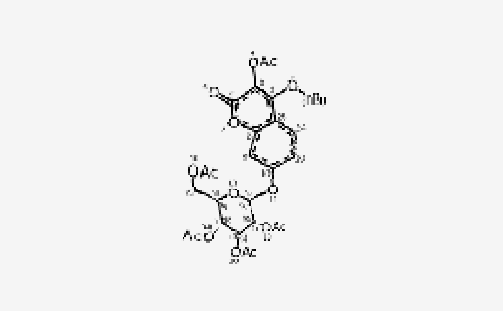 CCCCOc1c(OC(C)=O)c(=O)oc2cc(O[C@@H]3O[C@H](COC(C)=O)[C@@H](OC(C)=O)[C@H](OC(C)=O)[C@H]3OC(C)=O)ccc12